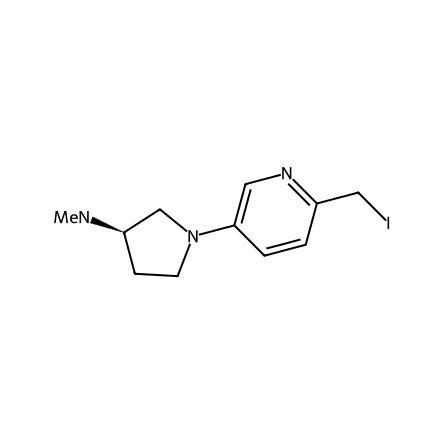 CN[C@@H]1CCN(c2ccc(CI)nc2)C1